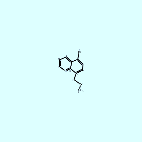 COCc1ccc(Br)c2cccnc12